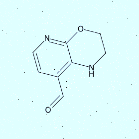 O=Cc1ccnc2c1NCCO2